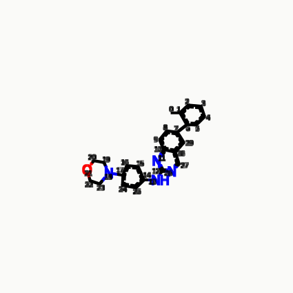 Cc1ccccc1-c1ccc2nc(Nc3ccc(N4CCOCC4)cc3)ncc2c1